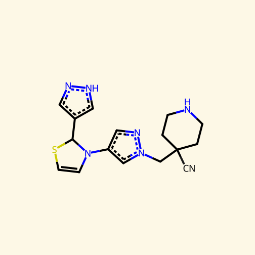 N#CC1(Cn2cc(N3C=CSC3c3cn[nH]c3)cn2)CCNCC1